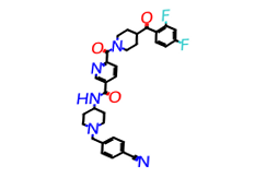 N#Cc1ccc(CN2CCC(NC(=O)c3ccc(C(=O)N4CCC(C(=O)c5ccc(F)cc5F)CC4)nc3)CC2)cc1